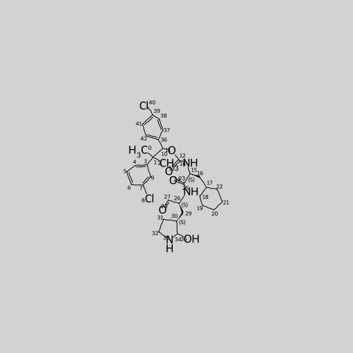 CC(C)(c1cccc(Cl)c1)C(OC(=O)N[C@@H](CC1CCCCC1)C(=O)N[C@H](C=O)C[C@@H]1CCNC1O)c1ccc(Cl)cc1